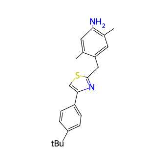 Cc1cc(Cc2nc(-c3ccc(C(C)(C)C)cc3)cs2)c(C)cc1N